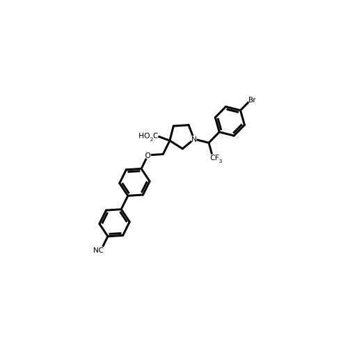 N#Cc1ccc(-c2ccc(OCC3(C(=O)O)CCN(C(c4ccc(Br)cc4)C(F)(F)F)C3)cc2)cc1